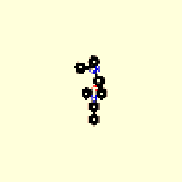 c1ccc(-c2ccc(N(c3ccccc3)c3cccc4c3oc3cc(-c5nc(-c6ccccc6)c6ccccc6n5)ccc34)cc2)cc1